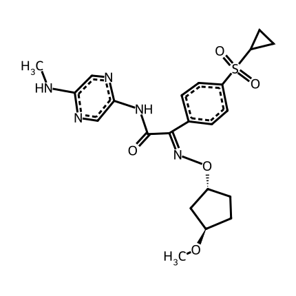 CNc1cnc(NC(=O)/C(=N/O[C@@H]2CC[C@@H](OC)C2)c2ccc(S(=O)(=O)C3CC3)cc2)cn1